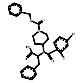 O=C(O)C(Cc1ccccc1)N(C(=O)c1ccc(Cl)cc1Cl)C1CCN(C(=O)OCc2ccccc2)CC1